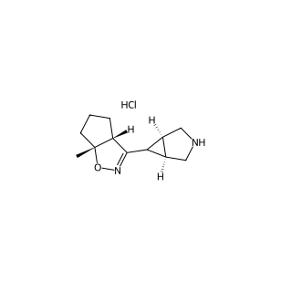 C[C@@]12CCC[C@@H]1C(C1[C@H]3CNC[C@@H]13)=NO2.Cl